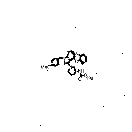 COc1ccc(Cn2nc(N3CCC[C@@H](NC(=O)OC(C)(C)C)C3)c3c(Oc4ccccc4C(=O)O)ccnc32)cc1